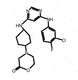 O=C1CN(C2CCC(Nc3cc(Nc4ccc(F)c(Cl)c4)ncn3)CC2)CCO1